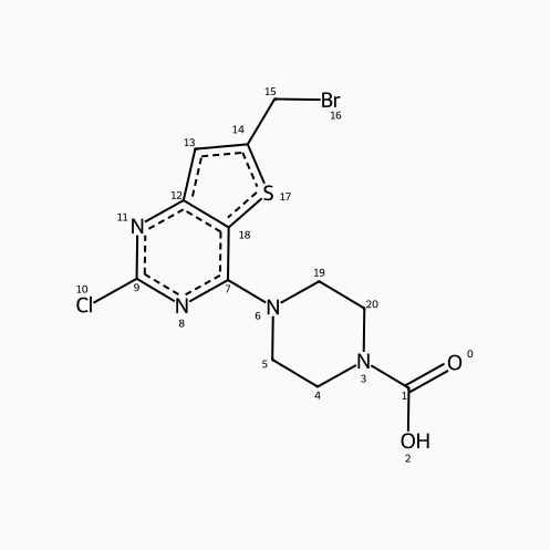 O=C(O)N1CCN(c2nc(Cl)nc3cc(CBr)sc23)CC1